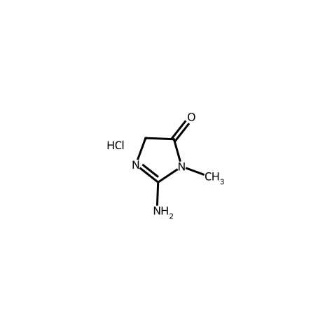 CN1C(=O)CN=C1N.Cl